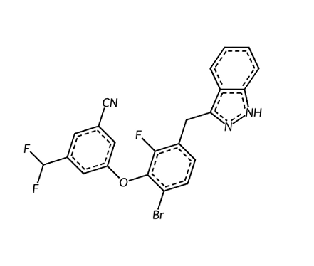 N#Cc1cc(Oc2c(Br)ccc(Cc3n[nH]c4ccccc34)c2F)cc(C(F)F)c1